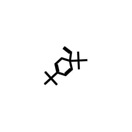 C=CC1(C(C)(C)C)C=CC(C(C)(C)C)=CC1